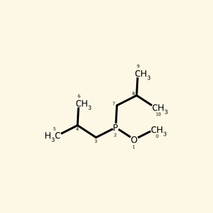 COP(CC(C)C)CC(C)C